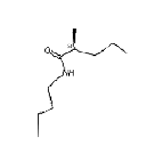 CCCCNC(=O)[C@@H](C)CCC